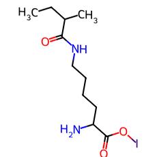 CCC(C)C(=O)NCCCCC(N)C(=O)OI